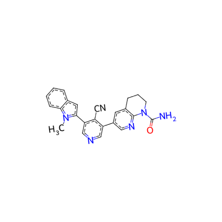 Cn1c(-c2cncc(-c3cnc4c(c3)CCCN4C(N)=O)c2C#N)cc2ccccc21